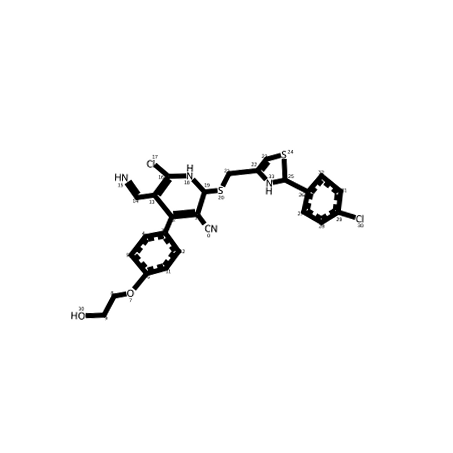 N#CC1=C(c2ccc(OCCO)cc2)C(C=N)=C(Cl)NC1SCC1=CSC(c2ccc(Cl)cc2)N1